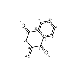 O=C1CC(=S)C(=O)c2ccccc21